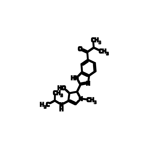 CC(C)NC1=CN(C)C(c2nc3ccc(C(=O)C(C)C)cc3[nH]2)C1O